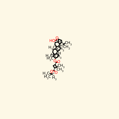 C=C(C)[C@@H]1CC[C@]2(C(=O)O)CC[C@]3(C)[C@H](CC[C@@H]4[C@@]5(C)CC[C@H](OC(=O)[C@@H]6C[C@H](C(=O)OC(C)(C)C)C6(C)C)C(C)(C)[C@@H]5CC[C@]43C)[C@@H]12